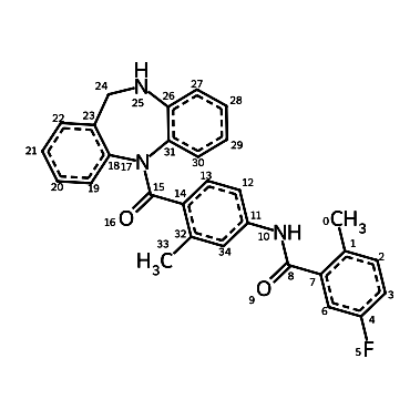 Cc1ccc(F)cc1C(=O)Nc1ccc(C(=O)N2c3ccccc3CNc3ccccc32)c(C)c1